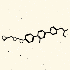 CCC(C)Cc1ccc(-c2ccc(-c3ccc(OCOCC4CO4)cc3)c(C)c2)cc1